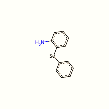 Nc1ccccc1[Se]c1ccccc1